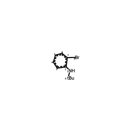 CC(C)(C)Nc1ccccc1Br